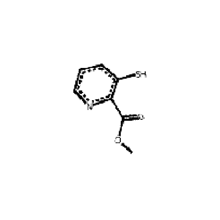 COC(=O)c1ncccc1S